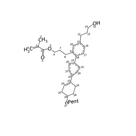 C=C(C)C(=O)OCCCc1cc(CCCO)ccc1-c1ccc(C2=CCC(CCCCC)CC2)cc1